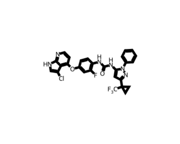 O=C(Nc1ccc(Oc2ccnc3[nH]cc(Cl)c23)cc1F)Nc1cc(C2(C(F)(F)F)CC2)nn1-c1ccccc1